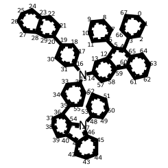 c1ccc(-c2c(-c3ccccc3)c3cc(N(c4ccc(-c5ccc6ccccc6c5)cc4)c4ccc(-c5cccc6c7ccccc7n(-c7ccccc7)c56)cc4)ccc3c3ccccc23)cc1